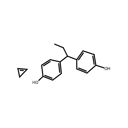 C1=CC1.CCC(c1ccc(O)cc1)c1ccc(O)cc1